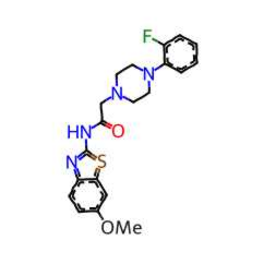 COc1ccc2nc(NC(=O)CN3CCN(c4ccccc4F)CC3)sc2c1